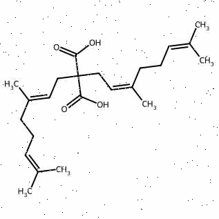 CC(C)=CCCC(C)=CCC(CC=C(C)CCC=C(C)C)(C(=O)O)C(=O)O